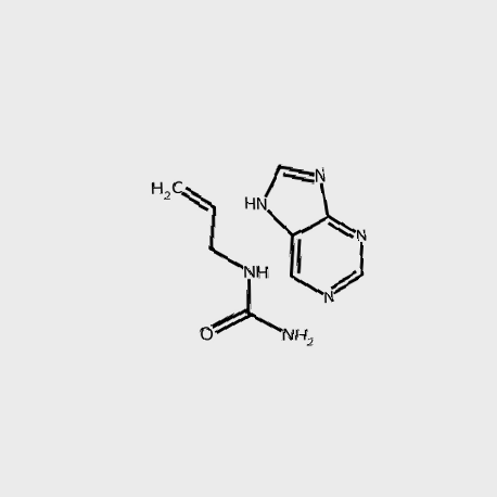 C=CCNC(N)=O.c1ncc2[nH]cnc2n1